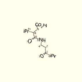 CC(C)C(=O)CCNC(=O)C(CC(=O)O)C(C)C